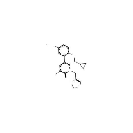 CSc1ccc(OCC2CC2)c(-c2cc(C)c(=O)n(CC3=COCN3)c2)c1